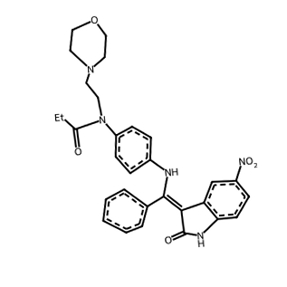 CCC(=O)N(CCN1CCOCC1)c1ccc(NC(=C2C(=O)Nc3ccc([N+](=O)[O-])cc32)c2ccccc2)cc1